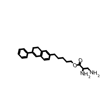 NCC(N)C(=O)OCCCCCc1ccc2c(c1)CCC(c1ccccc1)=C2